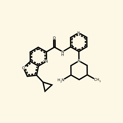 CC1CC(N)CN(c2ccncc2NC(=O)c2ccc3occ(C4CC4)c3n2)C1